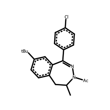 CC(=O)N1N=C(c2ccc(Cl)cc2)c2cc(C(C)(C)C)ccc2CC1C